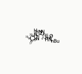 CCCCNC(=O)N1CCc2c(n[nH]c2-c2nc3cc(C)c(C)cc3[nH]2)C1